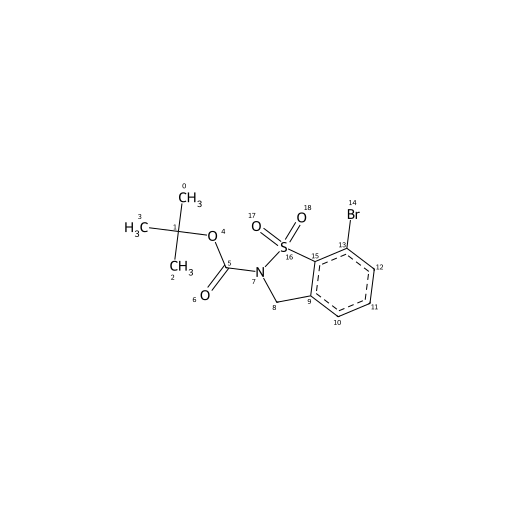 CC(C)(C)OC(=O)N1Cc2cccc(Br)c2S1(=O)=O